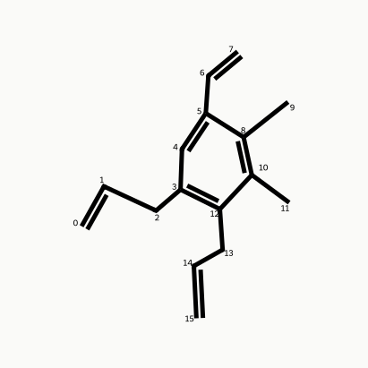 C=CCc1cc(C=C)c(C)c(C)c1CC=C